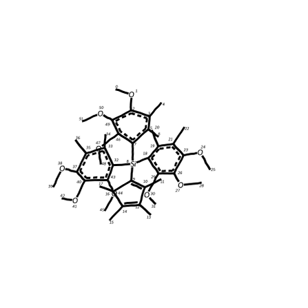 COc1c(C)c(C)c([Si](C2=C(C)C(C)=C(C)C2C)(c2c(C)c(C)c(OC)c(OC)c2OC)c2c(C)c(C)c(OC)c(OC)c2OC)c(OC)c1OC